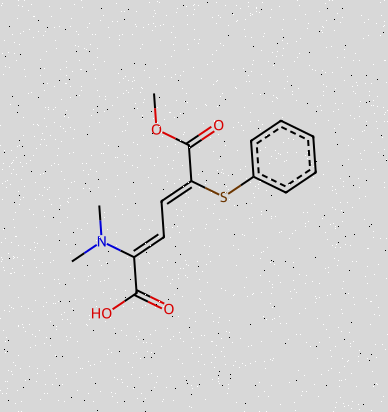 COC(=O)/C(=C/C=C(/C(=O)O)N(C)C)Sc1ccccc1